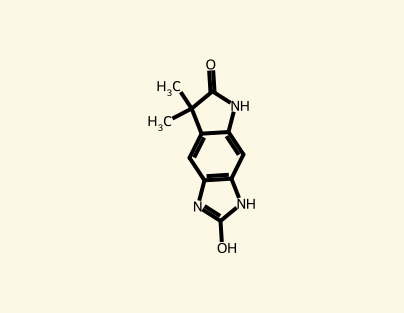 CC1(C)C(=O)Nc2cc3[nH]c(O)nc3cc21